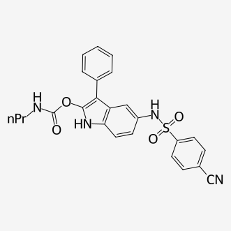 CCCNC(=O)Oc1[nH]c2ccc(NS(=O)(=O)c3ccc(C#N)cc3)cc2c1-c1ccccc1